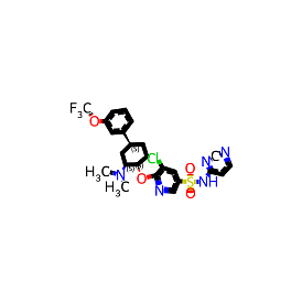 CN(C)[C@H]1C[C@@H](c2cccc(OC(F)(F)F)c2)CC[C@@H]1Oc1ncc(S(=O)(=O)Nc2ccncn2)cc1Cl